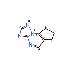 c1nc2ncc3c(n2n1)CCC3